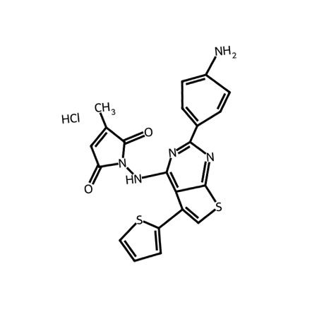 CC1=CC(=O)N(Nc2nc(-c3ccc(N)cc3)nc3scc(-c4cccs4)c23)C1=O.Cl